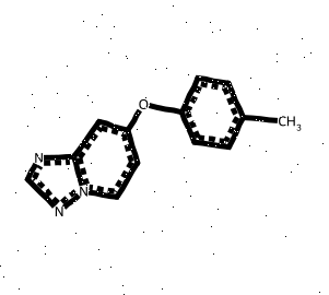 Cc1ccc(Oc2ccn3ncnc3c2)cc1